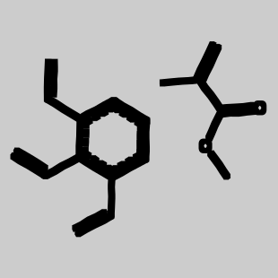 C=C(C)C(=O)OC.C=Cc1cccc(C=C)c1C=C